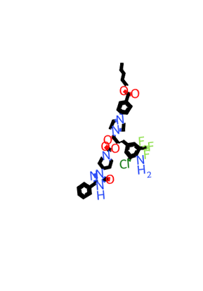 CCCCCOC(=O)c1ccc(N2CCN(C(=O)[C@@H](Cc3cc(Cl)c(N)c(C(F)(F)F)c3)OC(=O)N3CCC(n4nc(-c5ccccc5)[nH]c4=O)CC3)CC2)cc1